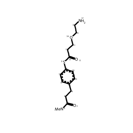 CNC(=O)CCc1ccc(SC(=O)CCOCCN)cc1